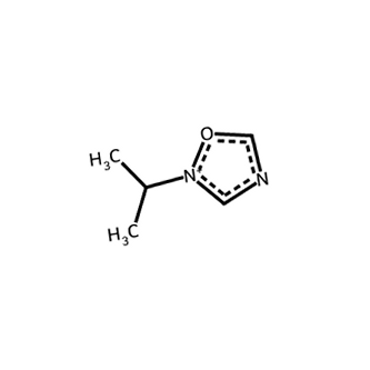 CC(C)[n+]1cnco1